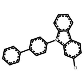 Clc1ccc2c3ccccc3n(-c3ccc(-c4ccccc4)cc3)c2c1